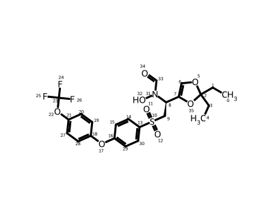 CCC1(CC)OC=C([C@@H](CS(=O)(=O)c2ccc(Oc3ccc(OC(F)(F)F)cc3)cc2)N(O)C=O)O1